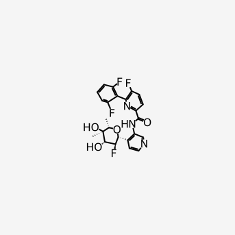 C[C@@H]1O[C@H](c2ccncc2NC(=O)c2ccc(F)c(-c3c(F)cccc3F)n2)[C@@H](F)[C@H](O)[C@@]1(C)O